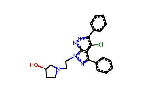 O[C@@H]1CCN(CCn2nc(-c3ccccc3)c3c(Cl)c(-c4ccccc4)nnc32)C1